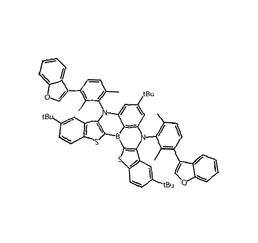 Cc1ccc(-c2coc3ccccc23)c(C)c1N1c2cc(C(C)(C)C)cc3c2B(c2sc4ccc(C(C)(C)C)cc4c21)c1sc2ccc(C(C)(C)C)cc2c1N3c1c(C)ccc(-c2coc3ccccc23)c1C